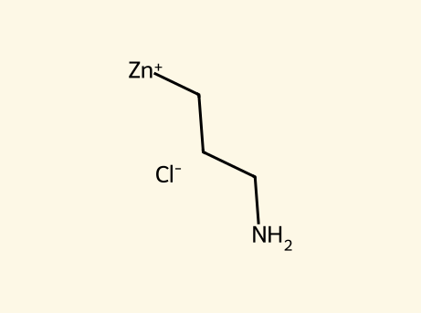 NCC[CH2][Zn+].[Cl-]